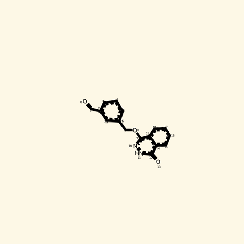 O=Cc1cccc(COc2n[nH]c(=O)c3ccccc23)c1